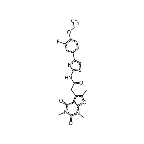 Cc1oc2c(c1CC(=O)Nc1nc(-c3ccc(OCC(F)(F)F)c(F)c3)cs1)c(=O)n(C)c(=O)n2C